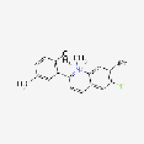 Cc1ccc(C)c(-c2ccc3cc(F)c(C(C)C)cc3[n+]2C)c1